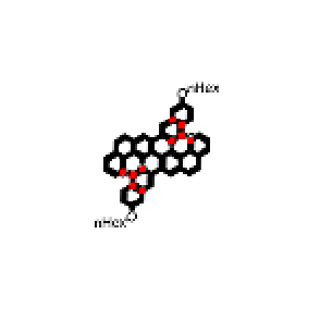 CCCCCCOc1ccc(C(=O)Oc2c(-c3c(-c4ccccc4)cc4ccc5ccccc5c4c3OC(=O)c3ccc(OCCCCCC)cc3)c(-c3ccccc3)cc3ccc4ccccc4c23)cc1